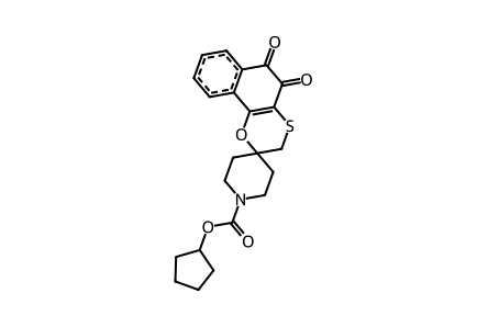 O=C1C(=O)c2ccccc2C2=C1SCC1(CCN(C(=O)OC3CCCC3)CC1)O2